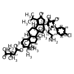 CC(C)C1=C2[C@H]3CC[C@@H]4[C@@]5(C)CC[C@H](OC(=O)CC(C)(C)C(=O)O)C(C)(C)[C@@H]5CC[C@@]4(C)[C@]3(C)CC[C@@]2(c2c(Cl)c(=O)n(-c3ccc(Cl)cc3)n2CCN)CC1=O